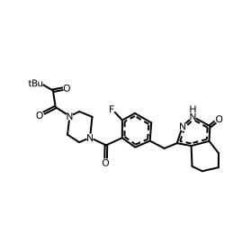 CC(C)(C)C(=O)C(=O)N1CCN(C(=O)c2cc(Cc3n[nH]c(=O)c4c3CCCC4)ccc2F)CC1